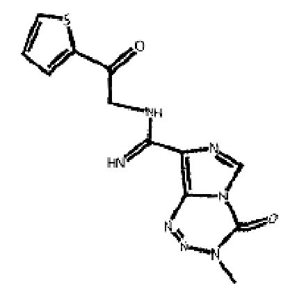 Cn1nnc2c(C(=N)NCC(=O)c3cccs3)ncn2c1=O